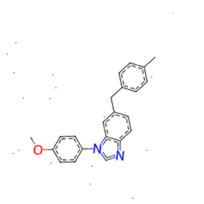 COc1ccc(-n2cnc3ccc(Cc4ccc(C)cc4)cc32)cc1